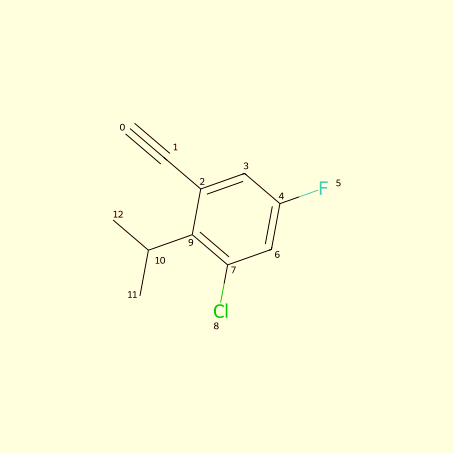 C#Cc1cc(F)cc(Cl)c1C(C)C